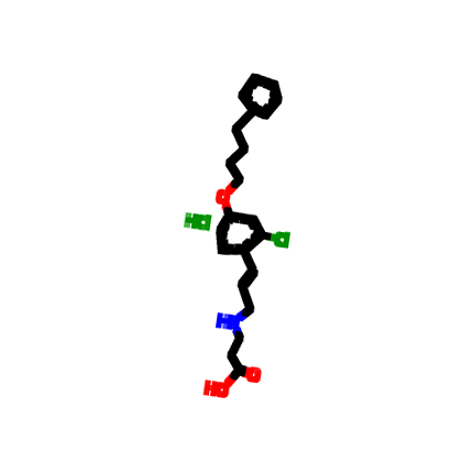 Cl.O=C(O)CCNC/C=C/c1ccc(OCCCCc2ccccc2)cc1Cl